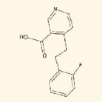 O=C(O)c1cnccc1CCc1ccccc1F